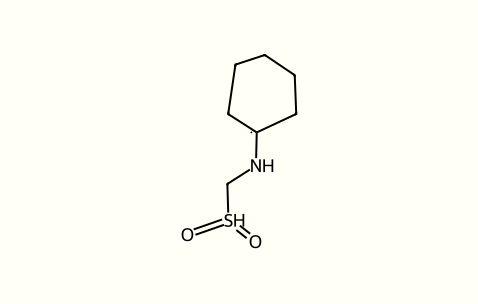 O=[SH](=O)CN[C]1CCCCC1